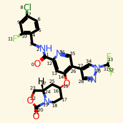 O=C(NCc1ccc(Cl)cc1F)c1cc(O[C@H]2CCN3C(=O)OC[C@@H]3C2)c(-c2cnn(C(F)F)c2)cn1